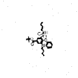 CCCCNc1cc(C(=O)OC(C)(C)C)cc(S(=O)(=O)NCCCC)c1Oc1ccccc1